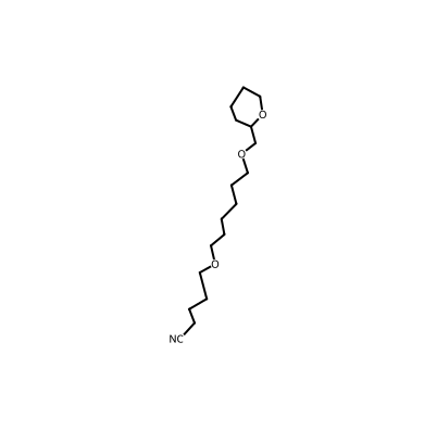 N#CCCCCOCCCCCCOCC1CCCCO1